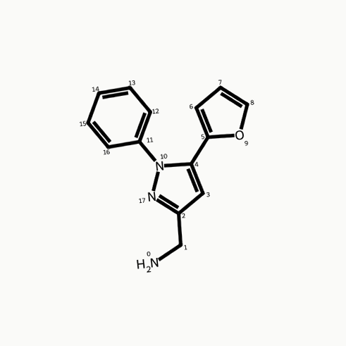 NCc1cc(-c2ccco2)n(-c2ccccc2)n1